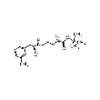 Cc1cccc(CC(=O)NCCCNC(=O)OC(C)(C)C)c1